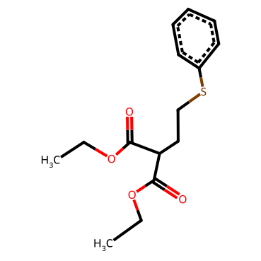 CCOC(=O)C(CCSc1ccccc1)C(=O)OCC